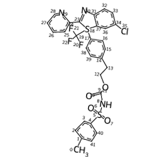 Cc1ccc(S(=O)(=O)NC(=O)OCCc2ccc(S3(C(F)(F)F)C(c4ccccn4)=Nc4ccc(Cl)cc43)cc2)cc1